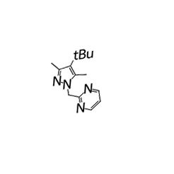 Cc1nn(Cc2ncccn2)c(C)c1C(C)(C)C